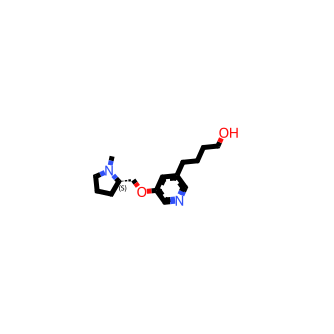 CN1CCC[C@H]1COc1cncc(CCCCO)c1